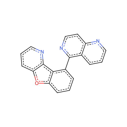 c1cnc2c(c1)oc1cccc(-c3nccc4ncccc34)c12